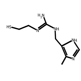 Cc1nc[nH]c1CNC(N)=NCCS